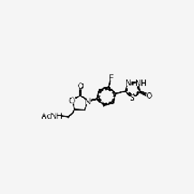 CC(=O)NCC1CN(c2ccc(-c3n[nH]c(=O)s3)c(F)c2)C(=O)O1